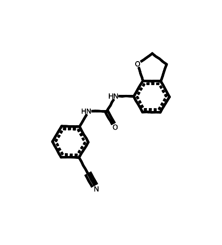 N#Cc1cccc(NC(=O)Nc2cccc3c2OCC3)c1